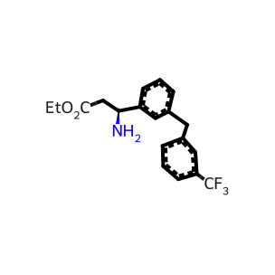 CCOC(=O)C[C@H](N)c1cccc(Cc2cccc(C(F)(F)F)c2)c1